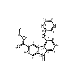 CCOC(=O)c1cc2c(cn1)[nH]c1cccc(Oc3cnccn3)c12